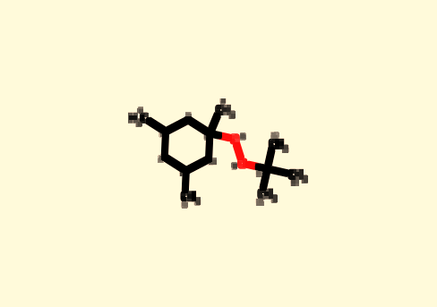 CC1CC(C)CC(C)(OOC(C)(C)C)C1